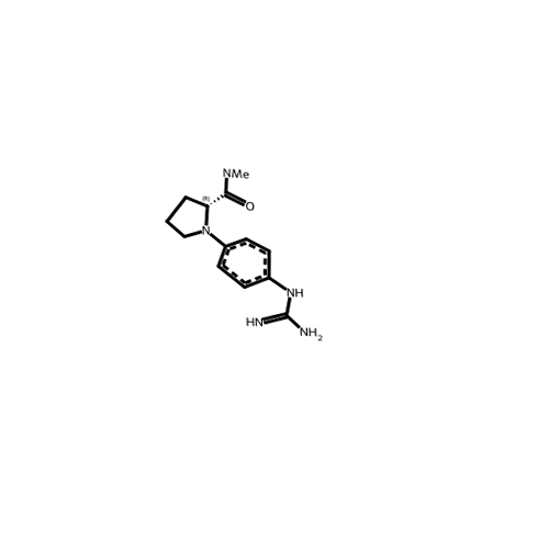 CNC(=O)[C@H]1CCCN1c1ccc(NC(=N)N)cc1